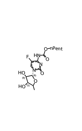 CCCCCOC(=O)Nc1nc(=O)n([C@@H]2OC(C)[C@@H](O)[C@H]2O)cc1F